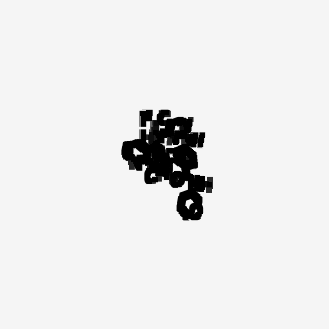 CN(c1ncccc1CNc1nc(Nc2ccc(C(=O)NC3CCCOC3)cc2)ncc1C(F)(F)F)S(C)(=O)=O